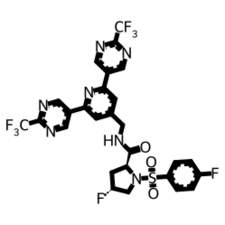 O=C(NCc1cc(-c2cnc(C(F)(F)F)nc2)nc(-c2cnc(C(F)(F)F)nc2)c1)[C@@H]1C[C@@H](F)CN1S(=O)(=O)c1ccc(F)cc1